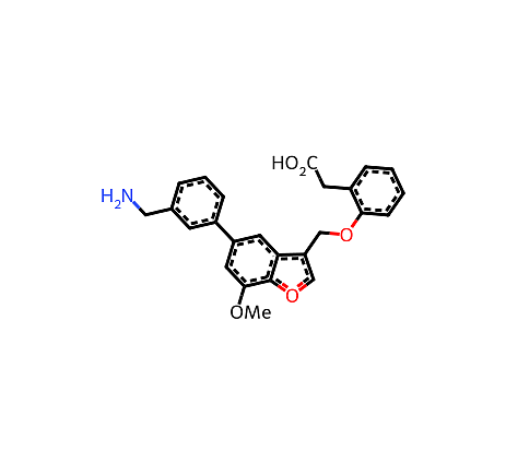 COc1cc(-c2cccc(CN)c2)cc2c(COc3ccccc3CC(=O)O)coc12